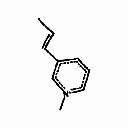 CC=Cc1ccc[n+](C)c1